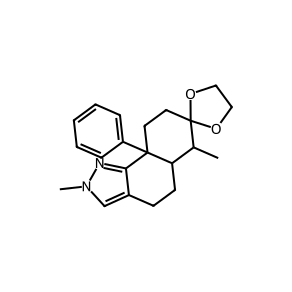 CC1C2CCc3cn(C)nc3C2(c2ccccc2)CCC12OCCO2